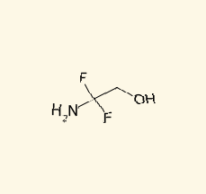 NC(F)(F)CO